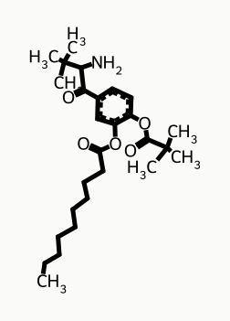 CCCCCCCCCC(=O)Oc1cc(C(=O)C(N)C(C)(C)C)ccc1OC(=O)C(C)(C)C